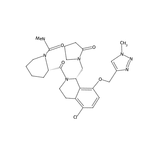 CNC(=O)N1CCCC[C@H]1C(=O)N1CCc2c(Cl)ccc(OCc3cn(C)nn3)c2[C@H]1CN1CCCC1=O